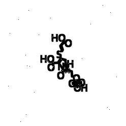 O=C(O)C=CSC1=C(C(=O)O)N2C(=O)[C@H](CCOS(=O)(=O)O)[C@H]2C1